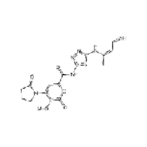 COc1c(N2CCCC2=O)cc(C(=O)Nc2nnc(N/C(C)=C\C=N)s2)oc1=O